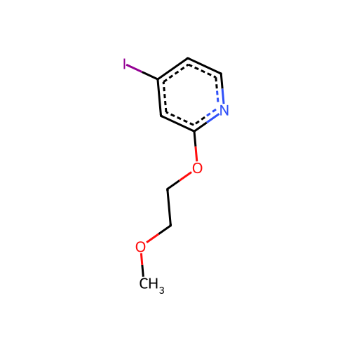 COCCOc1cc(I)ccn1